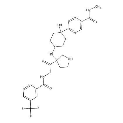 CNC(=O)c1ccc(C2(O)CCC(N[C@@]3(C(=O)CNC(=O)c4cccc(C(F)(F)F)c4)CCNC3)CC2)nc1